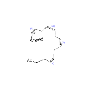 CCCCC/C=C\C/C=C\C/C=C\C/C=C\CCC(C)=O